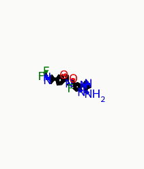 CN(C(=O)c1cc2c(cc1F)nc(N)c1cncn12)[C@@H]1COc2cc(-c3cnn(C(F)F)c3)ccc21